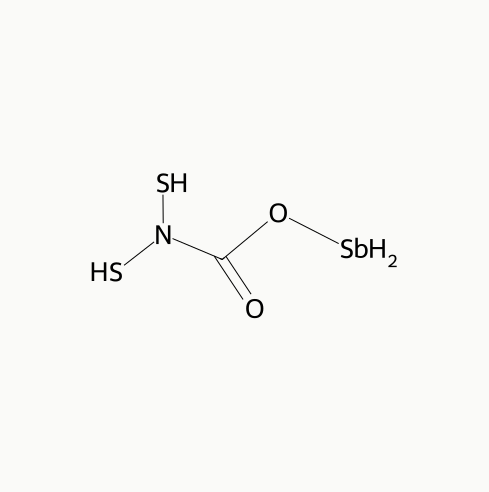 O=C([O][SbH2])N(S)S